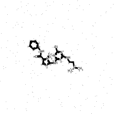 CCc1nc(NCCN(C)C)nc(Nc2ncc(C(=O)Nc3ccccc3)n2C)n1